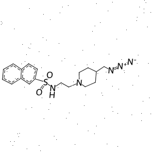 [N-]=[N+]=NCC1CCN(CCNS(=O)(=O)c2ccc3ccccc3c2)CC1